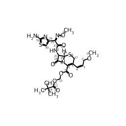 COC/C=C\C1=C(C(=O)OCOC(=O)C(C)(C)C)N2C(=O)C(NC(=O)/C(=N\OC)c3csc(N)n3)[C@@H]2SC1